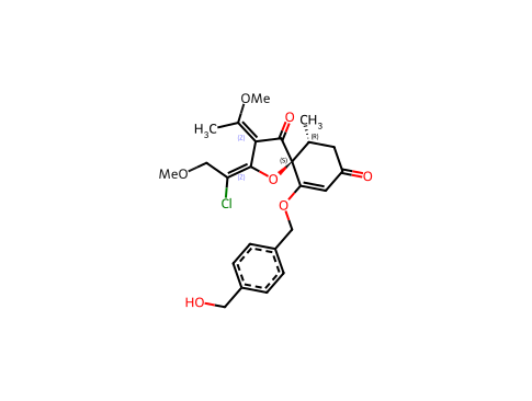 COC/C(Cl)=C1/O[C@]2(C(=O)/C1=C(/C)OC)C(OCc1ccc(CO)cc1)=CC(=O)C[C@H]2C